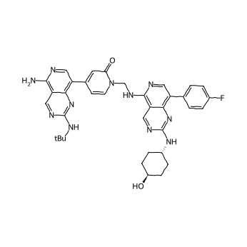 CC(C)(C)Nc1ncc2c(N)ncc(-c3ccn(CNc4ncc(-c5ccc(F)cc5)c5nc(N[C@H]6CC[C@H](O)CC6)ncc45)c(=O)c3)c2n1